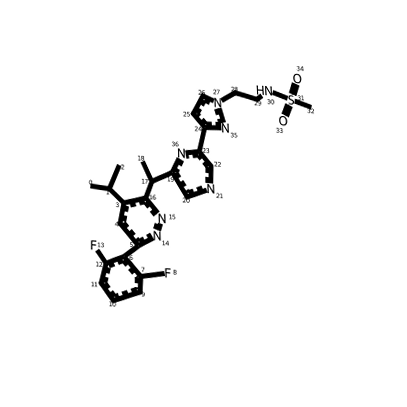 CC(C)c1cc(-c2c(F)cccc2F)nnc1C(C)c1cncc(-c2ccn(CCNS(C)(=O)=O)n2)n1